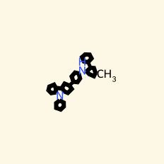 Cc1ccc(Nc2ccc(-c3ccc4c(c3)c3ccccc3n4-c3ccccc3)cc2)c(-c2ccccc2)c1